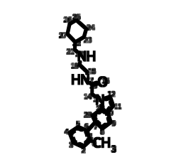 Cc1ccccc1-c1ccc2ccn(CC(=O)NCCNCC3CCCCC3)c2c1